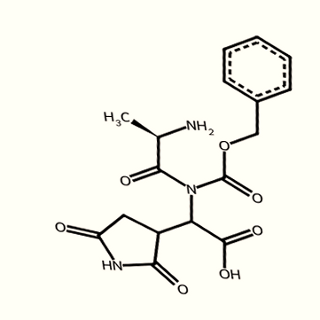 C[C@@H](N)C(=O)N(C(=O)OCc1ccccc1)C(C(=O)O)C1CC(=O)NC1=O